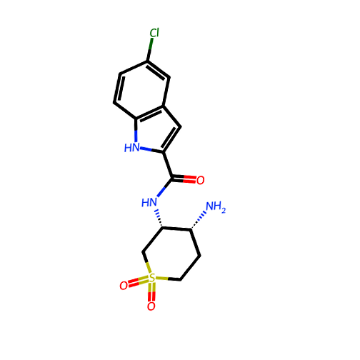 N[C@@H]1CCS(=O)(=O)C[C@@H]1NC(=O)c1cc2cc(Cl)ccc2[nH]1